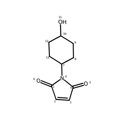 O=C1C=CC(=O)N1C1CCC(O)CC1